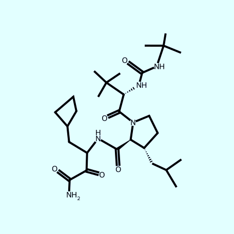 CC(C)C[C@H]1CCN(C(=O)[C@@H](NC(=O)NC(C)(C)C)C(C)(C)C)[C@@H]1C(=O)NC(CC1CCC1)C(=O)C(N)=O